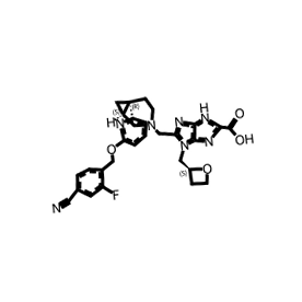 N#Cc1ccc(COc2cccc([C@]34CCN(Cc5nc6[nH]c(C(=O)O)nc6n5C[C@@H]5CCO5)C[C@H]3C4)n2)c(F)c1